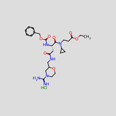 CCOC(=O)CCN(C(=O)[C@H](CC(=O)NCC1CN(C(=N)N)CCO1)NC(=O)OCc1ccccc1)C1CC1.Cl